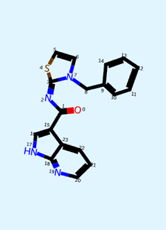 O=C(N=c1sccn1Cc1ccccc1)c1c[nH]c2ncccc12